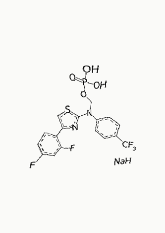 O=P(O)(O)OCN(c1ccc(C(F)(F)F)cc1)c1nc(-c2ccc(F)cc2F)cs1.[NaH]